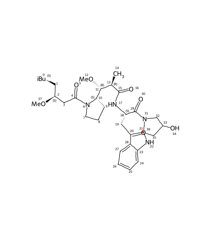 CC[C@H](C)C[C@@H](CC(=O)N1CCC[C@H]1[C@H](OC)[C@@H](C)C(=O)N[C@@H](Cc1c[nH]c2ccccc12)C(=O)N1CC(O)CO1)OC